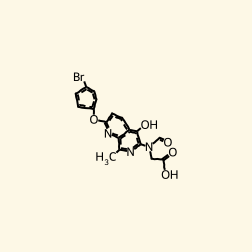 Cc1nc(N(C=O)CC(=O)O)c(O)c2ccc(Oc3ccc(Br)cc3)nc12